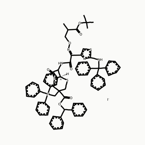 CC(CON=C(C(=O)NC1C(=O)N2CC(C[P+](c3ccccc3)(c3ccccc3)c3ccccc3)(C(=O)OC(c3ccccc3)c3ccccc3)CS[C@H]12)c1csc(NC(c2ccccc2)(c2ccccc2)c2ccccc2)n1)C(=O)OC(C)(C)C.[I-]